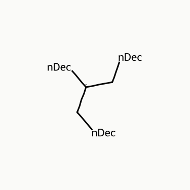 CCCCCCCCCCC[C](CCCCCCCCCC)CCCCCCCCCCC